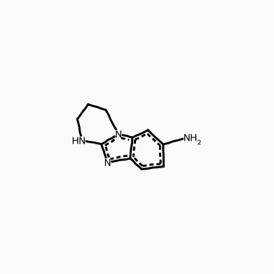 Nc1ccc2nc3n(c2c1)CCCN3